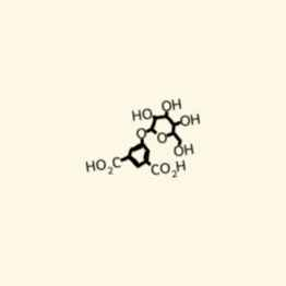 O=C(O)c1cc(OC2OC(CO)C(O)C(O)C2O)cc(C(=O)O)c1